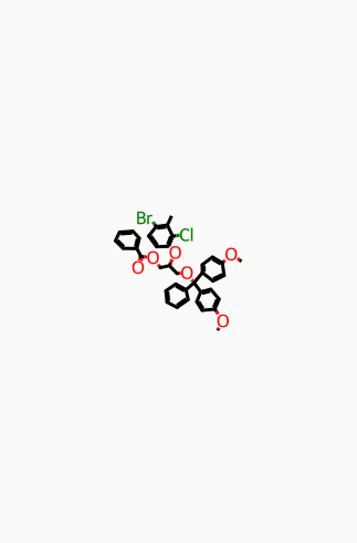 COc1ccc(C(OCC(COC(=O)c2ccccc2)Oc2ccc(Br)c(C)c2Cl)(c2ccccc2)c2ccc(OC)cc2)cc1